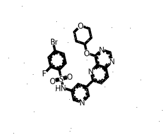 O=S(=O)(Nc1cncc(-c2ccc3ncnc(OC4CCOCC4)c3n2)c1)c1ccc(Br)cc1F